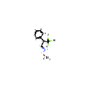 CON=CC(c1ccccc1)C(F)(F)F